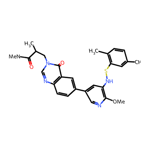 CNC(=O)C(C)Cn1cnc2ccc(-c3cnc(OC)c(NSc4cc(C)ccc4C)c3)cc2c1=O